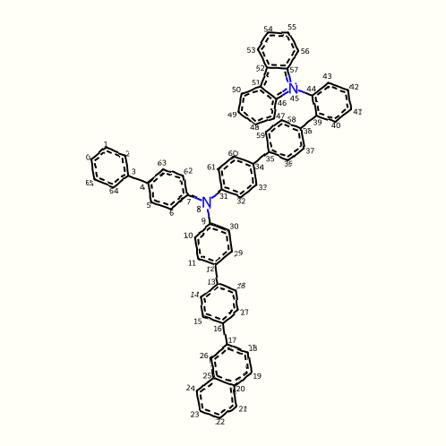 c1ccc(-c2ccc(N(c3ccc(-c4ccc(-c5ccc6ccccc6c5)cc4)cc3)c3ccc(-c4ccc(-c5ccccc5-n5c6ccccc6c6ccccc65)cc4)cc3)cc2)cc1